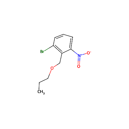 CCCOCc1c(Br)cccc1[N+](=O)[O-]